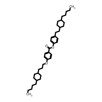 CCCCCC1CCC(CCCOc2ccc(C(=O)Oc3ccc(CCC4CCC(CCCCC)CC4)cc3)cc2)CC1